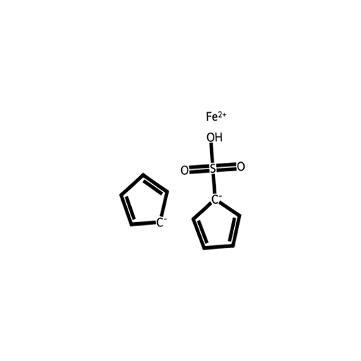 O=S(=O)(O)[c-]1cccc1.[Fe+2].c1cc[cH-]c1